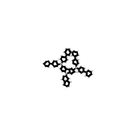 C1=CCC(c2ccc(N(c3ccc4c(c3)c3cc(N(c5ccc(-c6ccccc6)cc5)c5ccc(-c6ccccc6)cc5)ccc3n4-c3ccc4ccccc4c3)C3C=CC(c4ccccc4)=CC3)cc2)C=C1